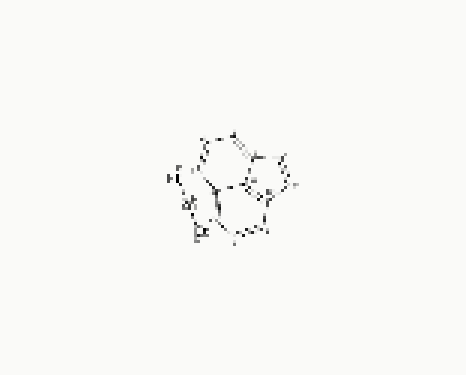 C1=Cc2cccc3cccc1c23.C[CH2][Zn][CH2]C